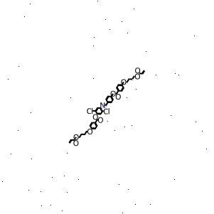 C=CC(=O)OCCCCOc1ccc(C(=O)Oc2ccc(/C=N/c3cc(Cl)c(OC(=O)c4ccc(OCCCCOC(=O)C=C)cc4)cc3Cl)cc2)cc1